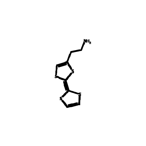 NCCC1=CSC(=C2SC=CS2)S1